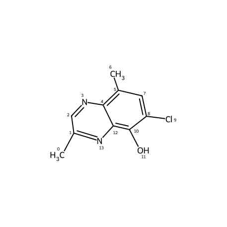 Cc1cnc2c(C)cc(Cl)c(O)c2n1